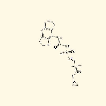 CC(C)(/C=C/S(=O)(=O)NC(=O)Nc1c2c(cc3c1CCC3)CCC2)NCC1CC1